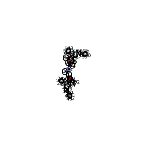 Cc1csc(C2(N(C(=O)COC(=O)/C=C/C(=O)OCC(=O)N(c3ccccc3)C3(c4nc(C)cs4)CCN(Cc4ccccc4)CC3)c3ccccc3)CCN(Cc3ccccc3)CC2)n1